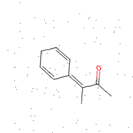 CC(=O)C(C)=C1C=CCC=C1